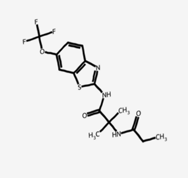 CCC(=O)NC(C)(C)C(=O)Nc1nc2ccc(OC(F)(F)F)cc2s1